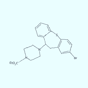 CCOC(=O)N1CCN(C2Cc3cc(Br)ccc3Sc3ccccc32)CC1